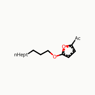 CCCCCCCCCCOc1ccc(C(C)=O)o1